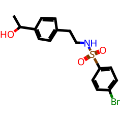 CC(O)c1ccc(CCNS(=O)(=O)c2ccc(Br)cc2)cc1